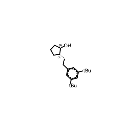 CC(C)(C)c1cc(CC[C@@H]2CCC[C@H]2O)cc(C(C)(C)C)c1